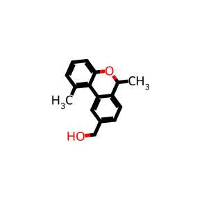 Cc1cccc2c1-c1cc(CO)ccc1C(C)O2